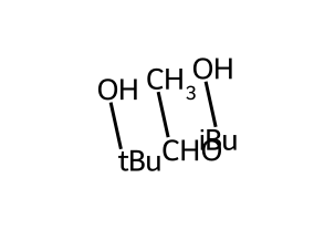 CC(C)(C)O.CC=O.CCC(C)O